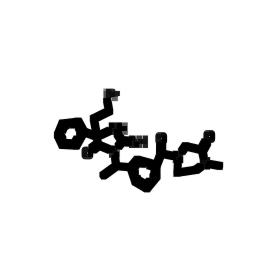 CC(C)CCC1(c2ccccc2)NC(=N)N(C(C)c2cccc(C(=O)N3CCN(C)C(=O)C3)c2)C1=O